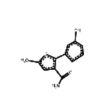 Cc1cc(C(N)=O)c(-c2cccc(O)c2)s1